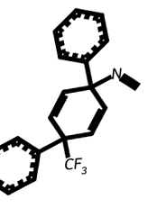 C=NC1(c2ccccc2)C=CC(c2ccccc2)(C(F)(F)F)C=C1